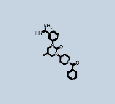 CC1CN(c2cccc(C(=N)N)c2)C(=O)N(C2CCN(C(=O)c3ccccc3)CC2)C1